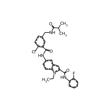 CCn1c(C(=O)Nc2ccccc2F)cc2cc(NC(=O)c3cc(CNC(=O)C(C)C)ccc3Cl)ccc21